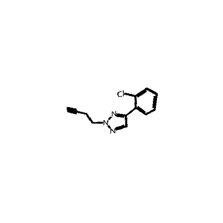 C#CCCn1ncc(-c2ccccc2Cl)n1